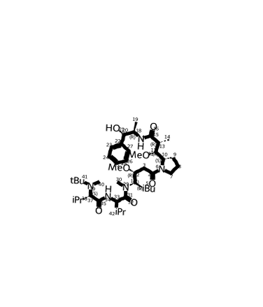 CC[C@H](C)[C@@H]([C@@H](CC(=O)N1CCC[C@H]1[C@H](OC)[C@@H](C)C(=O)N[C@H](C)[C@@H](O)c1ccccc1)OC)N(C)C(=O)C(NC(=O)[C@H](C(C)C)N(C)C(C)(C)C)C(C)C